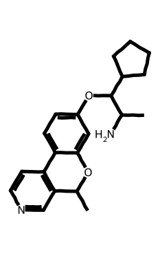 CC1Oc2cc(OC(C(C)N)C3CCCC3)ccc2-c2ccncc21